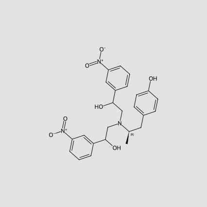 C[C@H](Cc1ccc(O)cc1)N(CC(O)c1cccc([N+](=O)[O-])c1)CC(O)c1cccc([N+](=O)[O-])c1